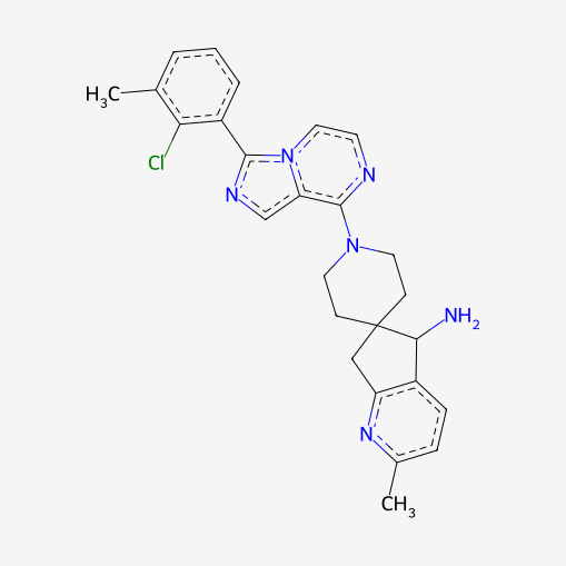 Cc1ccc2c(n1)CC1(CCN(c3nccn4c(-c5cccc(C)c5Cl)ncc34)CC1)C2N